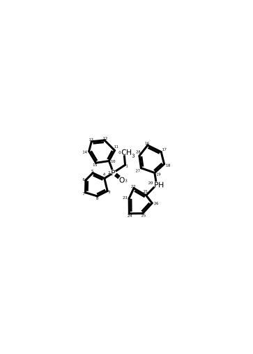 CCP(=O)(c1ccccc1)c1ccccc1.c1ccc(Pc2ccccc2)cc1